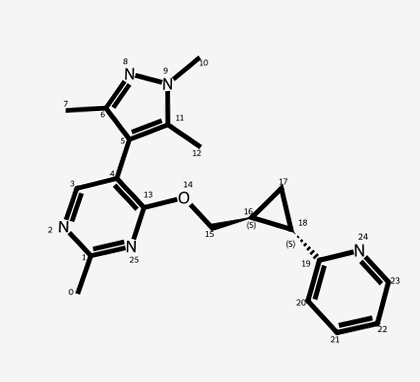 Cc1ncc(-c2c(C)nn(C)c2C)c(OC[C@H]2C[C@@H]2c2ccccn2)n1